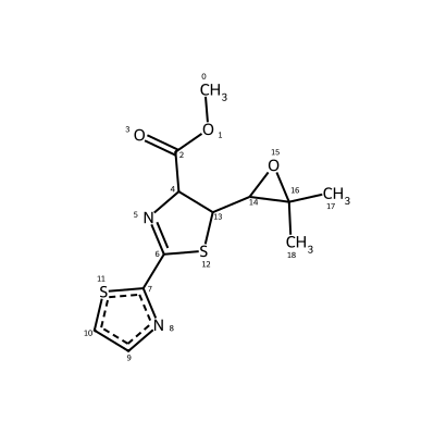 COC(=O)C1N=C(c2nccs2)SC1C1OC1(C)C